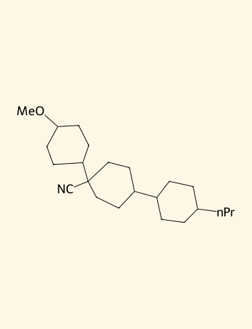 CCCC1CCC(C2CCC(C#N)(C3CCC(OC)CC3)CC2)CC1